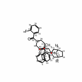 Cc1nc2ccccc2n1[C@H]1C[C@H]2CC[C@@H](C1)N2CCC1(c2ccccc2)CCN(C(=O)c2ccccc2F)CC1